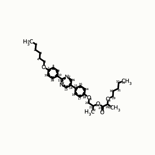 CCCCCCOc1ccc(-c2ncc(-c3ccc(OCC(C)OC(=O)C(C)OCCCCC)cc3)cn2)cc1